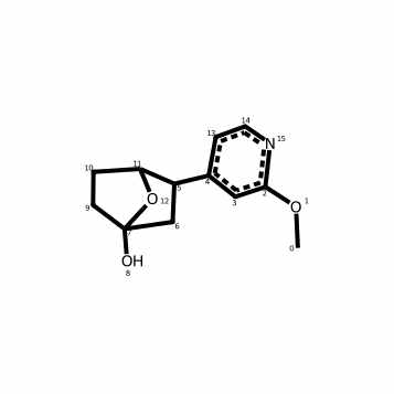 COc1cc(C2CC3(O)CCC2O3)ccn1